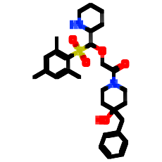 Cc1cc(C)c(S(=O)(=O)C(OCC(=O)N2CCC(O)(Cc3ccccc3)CC2)C2CCCCN2)c(C)c1